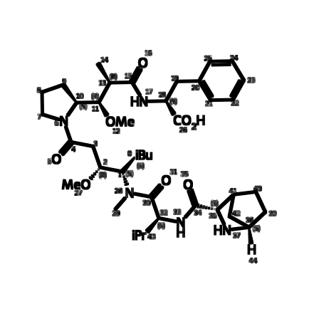 CC[C@H](C)[C@@H]([C@@H](CC(=O)N1CCC[C@H]1[C@H](OC)[C@@H](C)C(=O)N[C@@H](Cc1ccccc1)C(=O)O)OC)N(C)C(=O)[C@@H](NC(=O)[C@H]1N[C@H]2CCC1C2)C(C)C